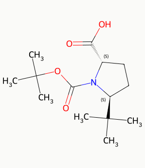 CC(C)(C)OC(=O)N1[C@H](C(C)(C)C)CC[C@H]1C(=O)O